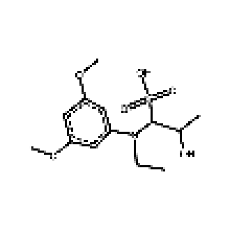 CCN(c1cc(OC)cc(OC)c1)C(C(C)O)S(=O)(=O)O